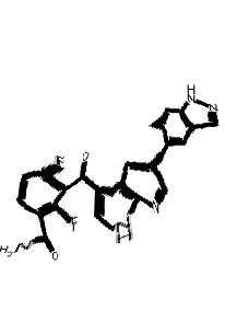 NC(=O)c1ccc(F)c(C(=O)c2c[nH]c3ncc(-c4ccc5[nH]ncc5c4)cc23)c1F